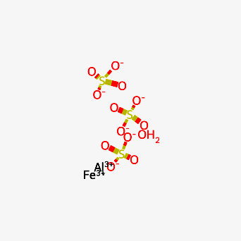 O.O=S(=O)([O-])[O-].O=S(=O)([O-])[O-].O=S(=O)([O-])[O-].[Al+3].[Fe+3]